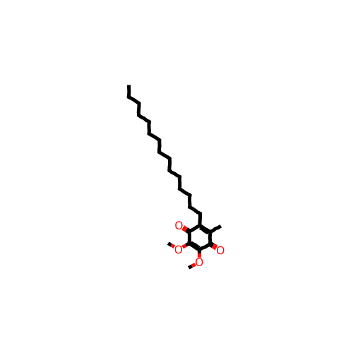 CCCCCCCCCCCCCCCC1=C(C)C(=O)C(OC)=C(OC)C1=O